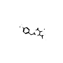 CCCC1=NN(C)C2C(=O)NC(Cc3ccc(N(CC)CC)cc3)=NC12